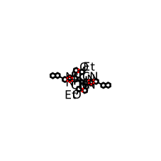 CCOc1ccc(-c2c3/c(=C(\C#N)c4cnc5cc(-c6ccc7ccccc7c6)ccc5n4)n(B(c4ccccc4)c4ccccc4)c(-c4ccc(OCC)cc4)c3/c(=C(\C#N)c3cnc4cc(-c5ccc6ccccc6c5)ccc4n3)n2B(c2ccccc2)c2ccccc2)cc1